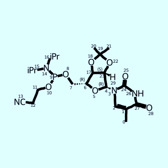 Cc1cn([C@@H]2O[C@H](COP(OCCC#N)N(C(C)C)C(C)C)C3OC(C)(C)O[C@@H]32)c(=O)[nH]c1=O